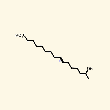 CC(O)CCCC/C=C/CCCCCCCC(=O)O